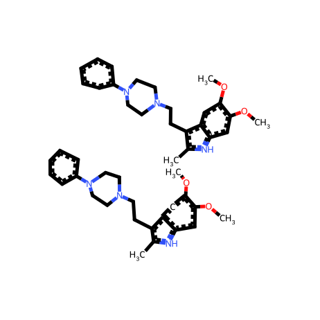 COc1cc2[nH]c(C)c(CCN3CCN(c4ccccc4)CC3)c2cc1OC.COc1cc2[nH]c(C)c(CCN3CCN(c4ccccc4)CC3)c2cc1OC